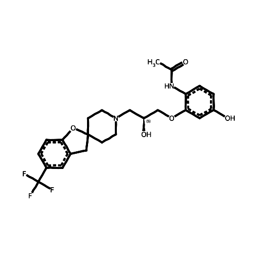 CC(=O)Nc1ccc(O)cc1OC[C@@H](O)CN1CCC2(CC1)Cc1cc(C(F)(F)F)ccc1O2